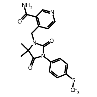 CC1(C)C(=O)N(c2ccc(SC(F)(F)F)cc2)C(=O)N1Cc1ccncc1C(N)=O